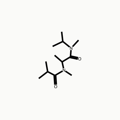 CC(C)C(=O)N(C)C(C)C(=O)N(C)C(C)C